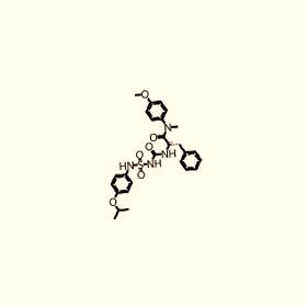 COc1ccc(N(C)C(=O)[C@H](Cc2ccccc2)NC(=O)NS(=O)(=O)Nc2ccc(OC(C)C)cc2)cc1